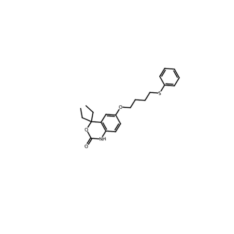 CCC1(CC)OC(=O)Nc2ccc(OCCCCSc3ccccc3)cc21